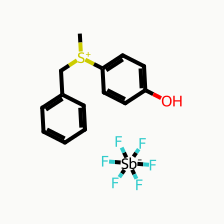 C[S+](Cc1ccccc1)c1ccc(O)cc1.[F][Sb-]([F])([F])([F])([F])[F]